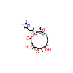 C/C(=C\c1csc(C)n1)[C@H]1C[C@H]2O[C@@]2(C)CCC[C@H](C)[C@@H](O)[C@@H](C)C(=O)C(C)(C)[C@H](O)CC(=O)O1